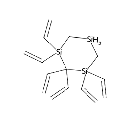 C=CC1(C=C)[Si](C=C)(C=C)C[SiH2]C[Si]1(C=C)C=C